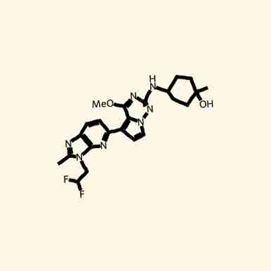 COc1nc(NC2CCC(C)(O)CC2)nn2ccc(-c3ccc4nc(C)n(CC(F)F)c4n3)c12